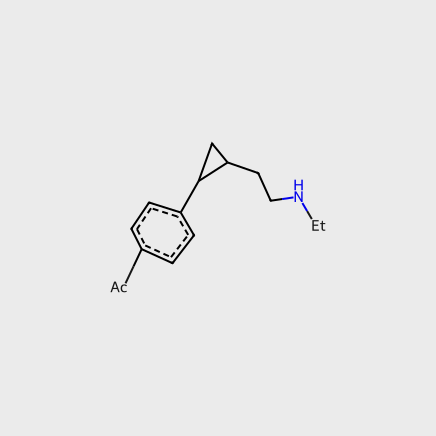 CCNCCC1CC1c1ccc(C(C)=O)cc1